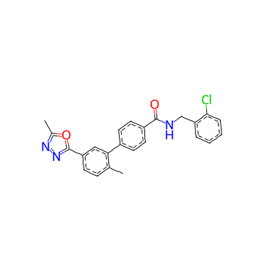 Cc1nnc(-c2ccc(C)c(-c3ccc(C(=O)NCc4ccccc4Cl)cc3)c2)o1